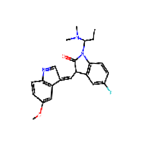 CCC(N(C)C)N1C(=O)C(C=C2C=Nc3ccc(OC)cc32)c2cc(F)ccc21